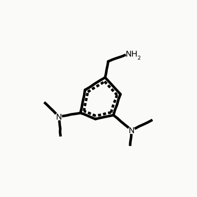 CN(C)c1cc(CN)cc(N(C)C)c1